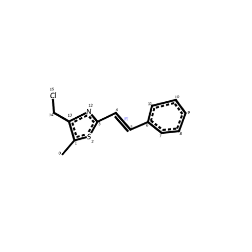 Cc1sc(/C=C/c2ccccc2)nc1CCl